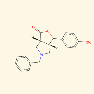 O=C1OC(c2ccc(O)cc2)[C@@H]2CN(Cc3ccccc3)C[C@H]12